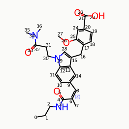 CCCNC(=O)/C(C)=C\c1ccc2c(c1)c(Cc1ccc(C(=O)O)cc1OC)cn2CCC(=O)N(C)C